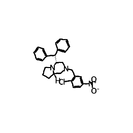 O=[N+]([O-])c1ccc(Cl)c(CN2C[C@@H]3CCCN3[C@H](C(c3ccccc3)c3ccccc3)C2)c1